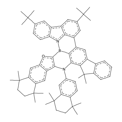 CC(C)(C)c1ccc2c(c1)c1cc(C(C)(C)C)cc3c1n2B1c2oc4cc5c(cc4c2N(c2ccc4c(c2)C(C)(C)CCC4(C)C)c2c1c-3cc1c2C(C)(C)c2ccccc2-1)C(C)(C)CCC5(C)C